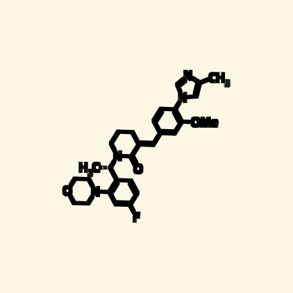 COc1cc(/C=C2\CCCN([C@@H](C)c3ccc(F)cc3N3CCOCC3)C2=O)ccc1-n1cnc(C)c1